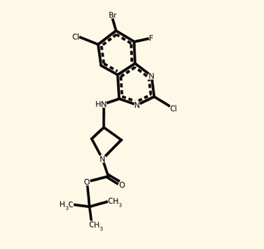 CC(C)(C)OC(=O)N1CC(Nc2nc(Cl)nc3c(F)c(Br)c(Cl)cc23)C1